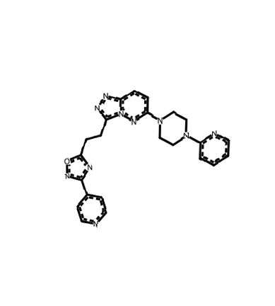 c1ccc(N2CCN(c3ccc4nnc(CCc5nc(-c6ccncc6)no5)n4n3)CC2)nc1